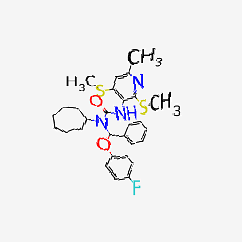 CSc1cc(C)nc(SC)c1NC(=O)N(C1CCCCCC1)C(Oc1ccc(F)cc1)c1ccccc1